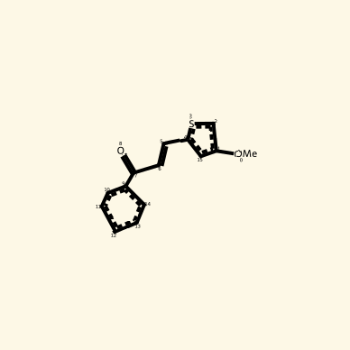 COc1csc(C=CC(=O)c2ccccc2)c1